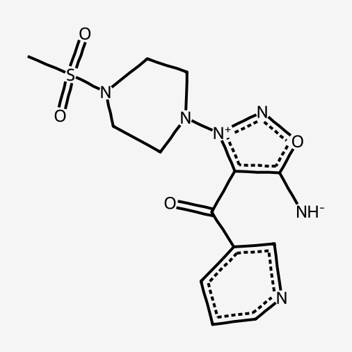 CS(=O)(=O)N1CCN([n+]2noc([NH-])c2C(=O)c2cccnc2)CC1